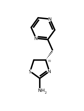 NC1=N[C@@H](Cc2cnccn2)CS1